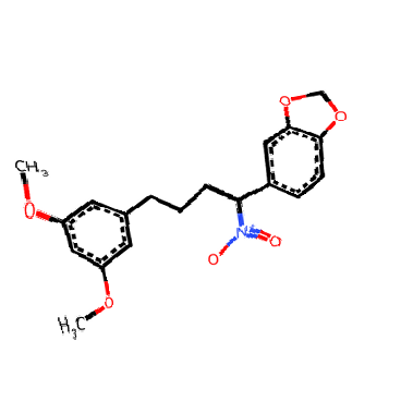 COc1cc(CCCC(c2ccc3c(c2)OCO3)[N+](=O)[O-])cc(OC)c1